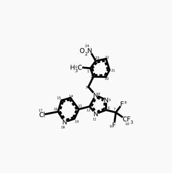 Cc1c(Cn2nc(C(F)(F)C(F)(F)F)nc2-c2ccc(Cl)nc2)cccc1[N+](=O)[O-]